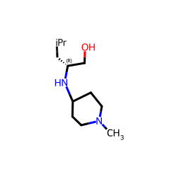 CC(C)C[C@H](CO)NC1CCN(C)CC1